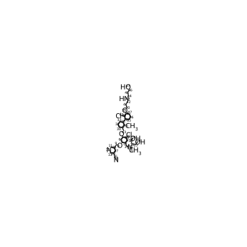 Cc1c(COc2cc(OCc3cncc(C#N)c3)c(CN(C)C(CO)CO)cc2Cl)cccc1-c1cccc(OCCCNCCCO)c1Cl